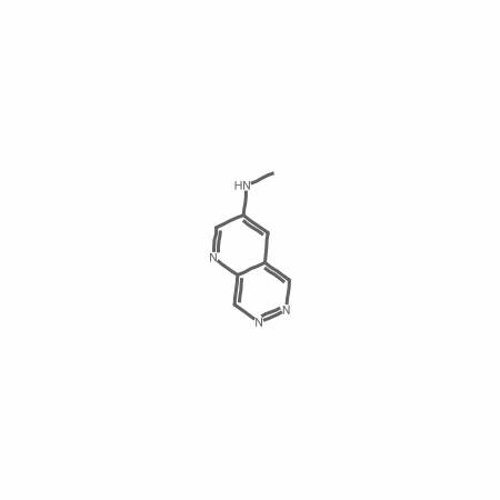 CNc1cnc2cnncc2c1